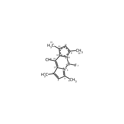 CC1=CC(C)=[N+]2B(F)n3c(C)cc(C)c3C(Cl)=C12